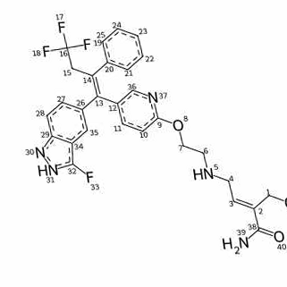 CC/C(=C\CNCCOc1ccc(/C(=C(/CC(F)(F)F)c2ccccc2)c2ccc3n[nH]c(F)c3c2)cn1)C(N)=O